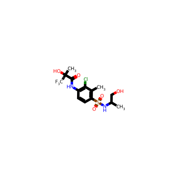 Cc1c(S(=O)(=O)NC(C)CO)ccc(NC(=O)C(C)(O)C(F)(F)F)c1Cl